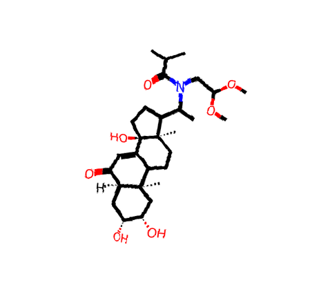 COC(CN(C(=O)C(C)C)C(C)C1CC[C@@]2(O)C3=CC(=O)[C@@H]4C[C@@H](O)[C@@H](O)C[C@]4(C)C3CC[C@]12C)OC